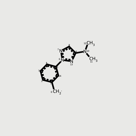 [CH2]c1cccc(-n2ncc(N(C)C)n2)c1